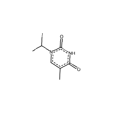 Cc1cn(C(C)I)c(=O)[nH]c1=O